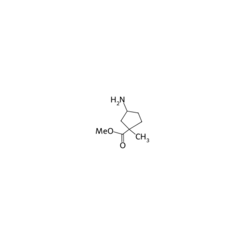 COC(=O)C1(C)CCC(N)C1